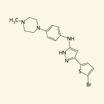 CN1CCN(c2ccc(Nc3cc(-c4ccc(Br)s4)n[nH]3)cc2)CC1